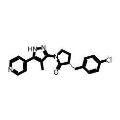 Cc1c(N2CC[C@H](Cc3ccc(Cl)cc3)C2=O)n[nH]c1-c1ccncc1